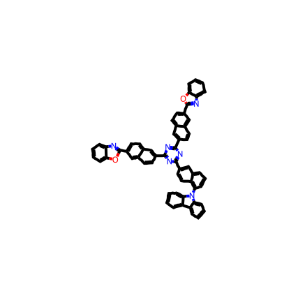 c1cc(-n2c3ccccc3c3ccccc32)c2ccc(-c3nc(-c4ccc5cc(-c6nc7ccccc7o6)ccc5c4)nc(-c4ccc5cc(-c6nc7ccccc7o6)ccc5c4)n3)cc2c1